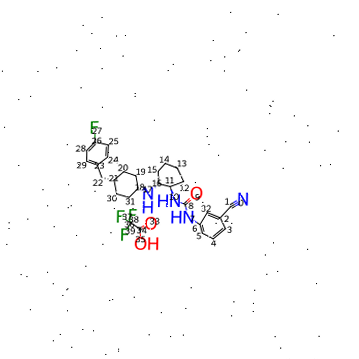 N#Cc1cccc(NC(=O)N[C@@H]2CCCC[C@H]2N[C@H]2CC[C@@H](Cc3ccc(F)cc3)CC2)c1.O=C(O)C(F)(F)F